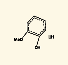 COc1ccccc1O.[LiH]